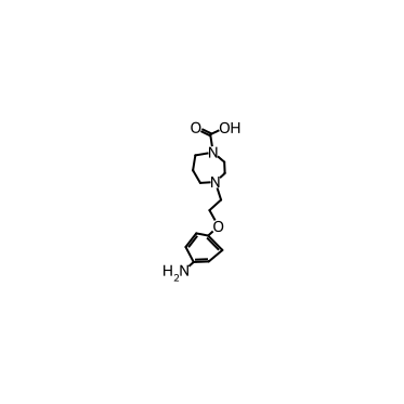 Nc1ccc(OCCN2CCCN(C(=O)O)CC2)cc1